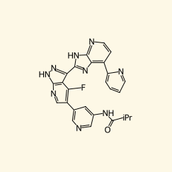 CC(C)C(=O)Nc1cncc(-c2cnc3[nH]nc(-c4nc5c(-c6ccccn6)ccnc5[nH]4)c3c2F)c1